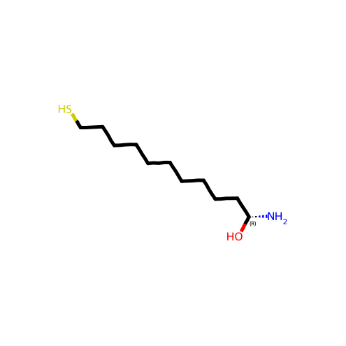 N[C@H](O)CCCCCCCCCCS